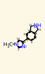 Cn1cnc(-c2ccc3c(c2)CNC3)c1